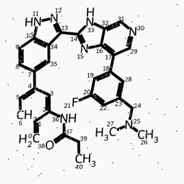 C=C/C(=C\C(=C/C)c1ccc2[nH]nc(-c3nc4c(-c5cc(F)cc(CN(C)C)c5)cncc4[nH]3)c2c1)NC(=O)CC